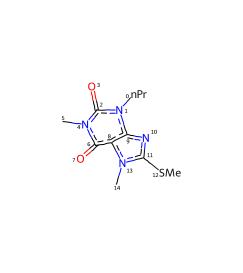 CCCn1c(=O)n(C)c(=O)c2c1nc(SC)n2C